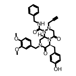 C#CCN1CC(=O)N2[C@@H](Cc3ccc(O)cc3)C(=O)N(Cc3ccc(OC)c(OC)c3)C[C@@H]2N1C(=O)NCc1ccccc1